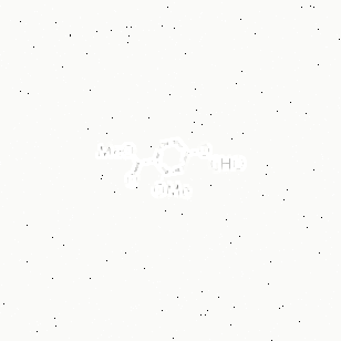 COC(=O)c1ccc(OC=O)cc1OC